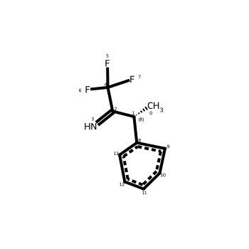 C[C@@H](C(=N)C(F)(F)F)c1ccccc1